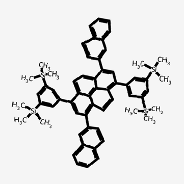 C[Si](C)(C)c1cc(-c2cc(-c3ccc4ccccc4c3)c3ccc4c(-c5cc([Si](C)(C)C)cc([Si](C)(C)C)c5)cc(-c5ccc6ccccc6c5)c5ccc2c3c45)cc([Si](C)(C)C)c1